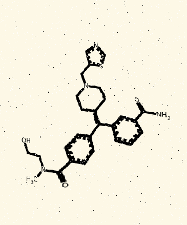 CN(CCO)C(=O)c1ccc(C(=C2CCN(Cc3cncs3)CC2)c2cccc(C(N)=O)c2)cc1